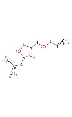 C=CCOCC1COC(CC(C)C)O1